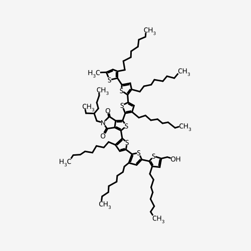 CCCCCCCCc1cc(C)sc1-c1cc(CCCCCCCC)c(-c2cc(CCCCCCCC)c(-c3sc(-c4sc(-c5sc(-c6sc(CO)cc6CCCCCCCC)cc5CCCCCCCC)cc4CCCCCCCC)c4c3C(=O)N(CC(CC)CCCC)C4=O)s2)s1